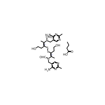 C/C(=C(\CCO)SS/C(CCO)=C(/C)N(C=O)Cc1cnc(C)nc1N)N(C=O)Cc1cnc(C)nc1N.CCCC(=O)O